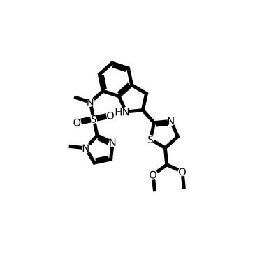 COC(OC)C1CN=C(C2Cc3cccc(N(C)S(=O)(=O)c4nccn4C)c3N2)S1